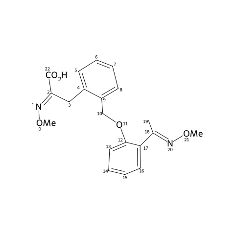 CO/N=C(\Cc1ccccc1COc1ccccc1/C(C)=N/OC)C(=O)O